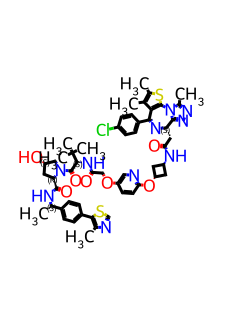 Cc1ncsc1-c1ccc([C@H](C)NC(=O)[C@H]2C[C@H](O)CN2C(=O)[C@@H](NC(=O)COc2ccc(O[C@H]3C[C@H](NC(=O)C[C@@H]4N=C(c5ccc(Cl)cc5)c5c(sc(C)c5C)-n5c(C)nnc54)C3)nc2)C(C)(C)C)cc1